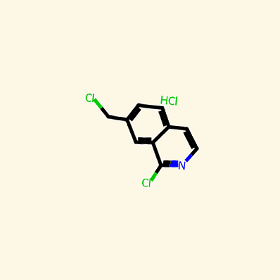 Cl.ClCc1ccc2ccnc(Cl)c2c1